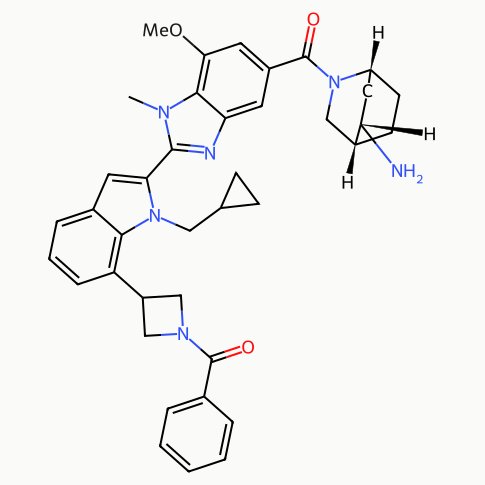 COc1cc(C(=O)N2C[C@H]3CC[C@@H]2C[C@@H]3N)cc2nc(-c3cc4cccc(C5CN(C(=O)c6ccccc6)C5)c4n3CC3CC3)n(C)c12